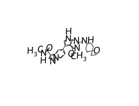 CNC(=O)c1cnn2ccc(-c3c[nH]c4nc(N[C@H]5CC[C@@]6(CCO6)CC5)nc(OC)c34)cc12